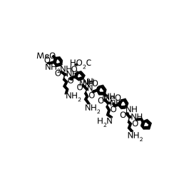 COc1ccc(NC(=O)[C@H](CCCCCN)NC(=O)c2cc(NC(=O)[C@H](CCCCN)NC(=O)c3cc(NC(=O)[C@H](CCCCN)NC(=O)c4cc(NC(=O)[C@H](CCCCN)NC(=O)Cc5ccccc5)ccc4OC)ccc3OC)ccc2OCC(=O)O)cc1C(N)=O